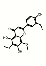 COc1cc(-c2cc(=O)c3c(O)c(OC)c(O)c(OC)c3o2)ccc1O